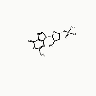 Nc1nc2c(ncn2[C@@H]2O[C@H](OP(=O)(O)S)CC2O)c(=O)[nH]1